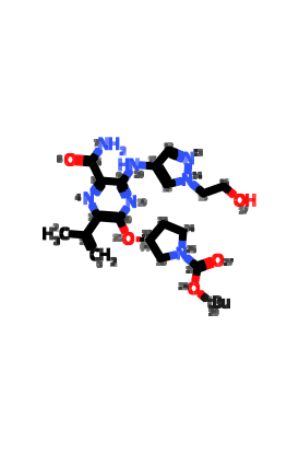 C=C(C)c1nc(C(N)=O)c(Nc2cnn(CCO)c2)nc1O[C@@H]1CCN(C(=O)OC(C)(C)C)C1